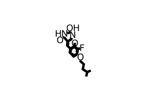 CC(C)CCCOc1ccc2c(c1F)OC1=NC(O)NC(=O)C1=C2